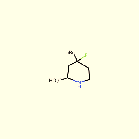 CCCCC1(F)CCNC(C(=O)O)C1